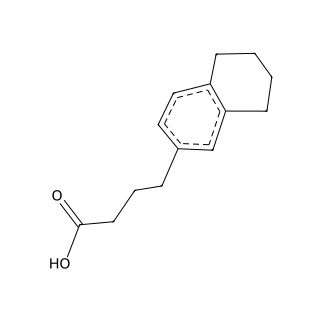 O=C(O)CCCc1ccc2c(c1)CCCC2